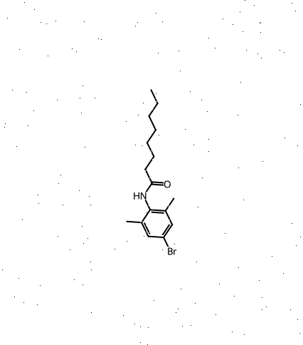 CCCCCCCC(=O)Nc1c(C)cc(Br)cc1C